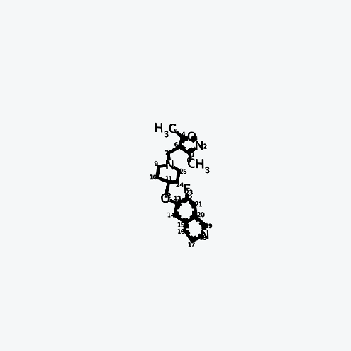 Cc1noc(C)c1CN1CCC(Oc2cc3ccncc3cc2F)CC1